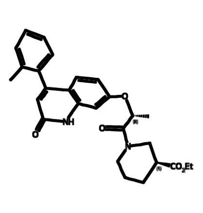 CCOC(=O)[C@H]1CCCN(C(=O)[C@@H](C)Oc2ccc3c(-c4ccccc4C)cc(=O)[nH]c3c2)C1